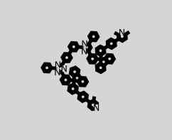 Cc1ccc(-c2ccc(-c3cccc(C4(c5cccc(-c6cc(-c7ccccc7)nc(-c7cccc(-c8ccc(-c9nc(-c%10ccccc%10)nc(-c%10cccc(C%11(c%12cccc(-c%13ccc(-c%14ccncc%14C)cc%13)c%12)c%12ccccc%12-c%12ccccc%12%11)c%10)n9)cc8)c7)n6)c5)c5ccccc5-c5ccccc54)c3)cc2)c(C)n1